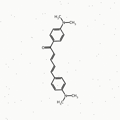 CN(C)c1ccc(C=CC=CC(=O)c2ccc(N(C)C)cc2)cc1